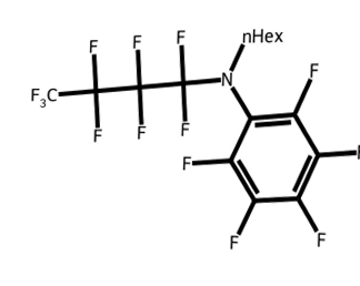 CCCCCCN(c1c(F)c(F)c(F)c(F)c1F)C(F)(F)C(F)(F)C(F)(F)C(F)(F)F